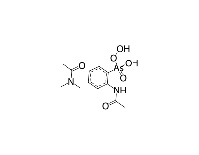 CC(=O)N(C)C.CC(=O)Nc1ccccc1[As](=O)(O)OO